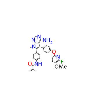 C=C(C)C(=O)Nc1ccc(-c2c(-c3ccc(Oc4ccc(OC)c(F)n4)cc3)c3c(N)ncnc3n2C)cc1